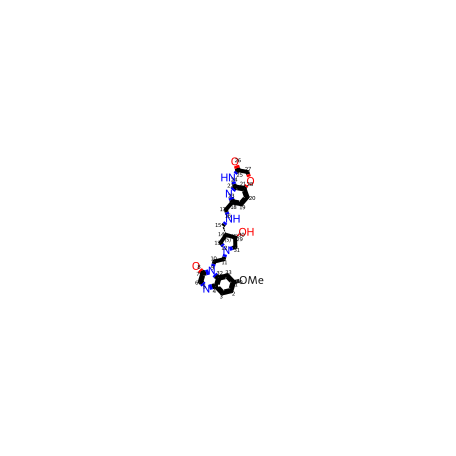 COc1ccc2ncc(=O)n(CCN3C[C@H](CNCc4ccc5c(n4)NC(=O)CO5)[C@H](O)C3)c2c1